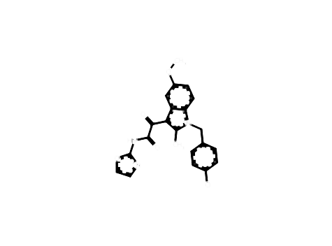 COc1ccc2c(c1)c(C(=O)C(=O)Nc1ncco1)c(C)n2Cc1ccc(Cl)cc1